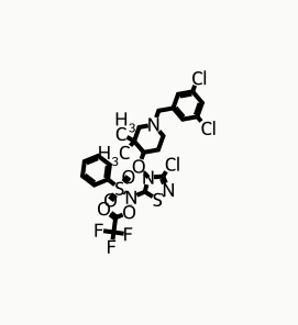 CC1(C)CN(Cc2cc(Cl)cc(Cl)c2)CCC1ON1C(Cl)=NSC1N(OC(=O)C(F)(F)F)S(=O)(=O)c1ccccc1